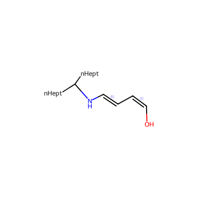 CCCCCCCC(CCCCCCC)N/C=C/C=C\O